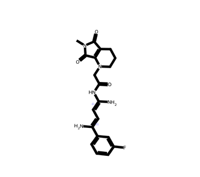 CN1C(=O)C2=C(C1=O)N(CC(=O)N/C(N)=C/C=C(\N)c1cccc(F)c1)CCC2